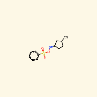 N#CC1CC/C(=N\OS(=O)(=O)c2ccccc2)C1